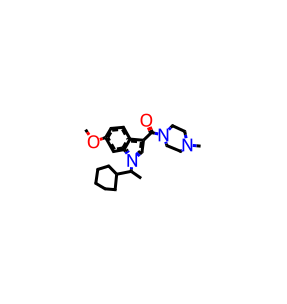 COc1ccc2c(C(=O)N3CCN(C)CC3)cn(C(C)C3CCCCC3)c2c1